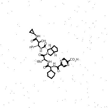 CCC[C@H](NC(=O)[C@@H]1[C@H]2CCC[C@H]2CN1C(=O)[C@@H](NC(=O)[C@@H](NC(=O)c1cnc(C(=O)O)cn1)C1CCCCC1)C(C)(C)C)C(O)C(=O)NC1CC1